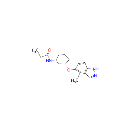 Cc1c(O[C@H]2CCC[C@@H](NC(=O)CC(F)(F)F)C2)ccc2[nH]ncc12